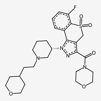 O=C(c1nn([C@H]2CCCN(CCC3CCOCC3)C2)c2c1CS(=O)(=O)c1c(F)cccc1-2)N1CCOCC1